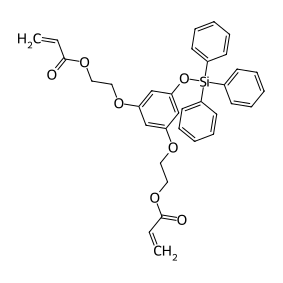 C=CC(=O)OCCOc1cc(OCCOC(=O)C=C)cc(O[Si](c2ccccc2)(c2ccccc2)c2ccccc2)c1